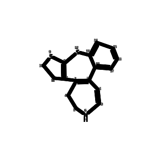 C1=CC2=C(CCN1)C1=C(SCC1)Sc1ccccc12